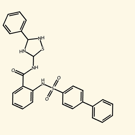 O=C(NC1NC(c2ccccc2)NS1)c1ccccc1NS(=O)(=O)c1ccc(-c2ccccc2)cc1